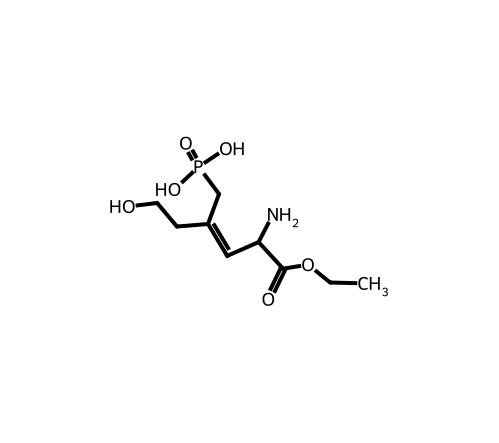 CCOC(=O)C(N)/C=C(/CCO)CP(=O)(O)O